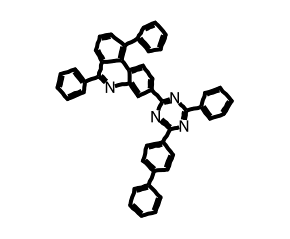 c1ccc(-c2ccc(-c3nc(-c4ccccc4)nc(-c4ccc5c(c4)nc(-c4ccccc4)c4cccc(-c6ccccc6)c45)n3)cc2)cc1